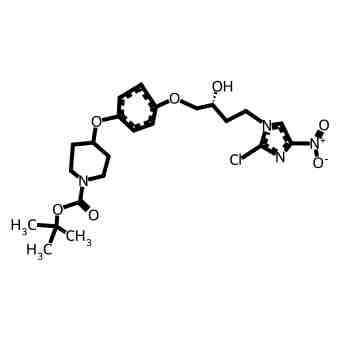 CC(C)(C)OC(=O)N1CCC(Oc2ccc(OC[C@H](O)CCn3cc([N+](=O)[O-])nc3Cl)cc2)CC1